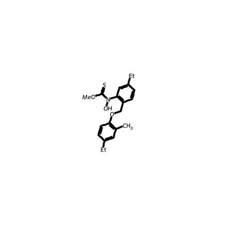 CCc1ccc(OCc2ccc(CC)cc2N(O)C(=S)OC)c(C)c1